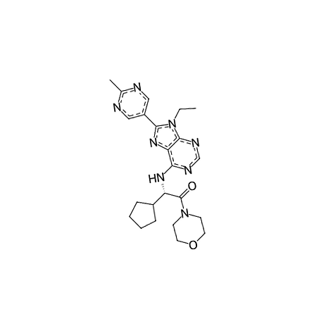 CCn1c(-c2cnc(C)nc2)nc2c(N[C@H](C(=O)N3CCOCC3)C3CCCC3)ncnc21